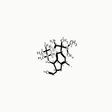 CN(C)C(C)(C(N)=O)c1cc(F)c2c(c1)C(O[Si](C)(C)C(C)(C)C)C(C=O)C2